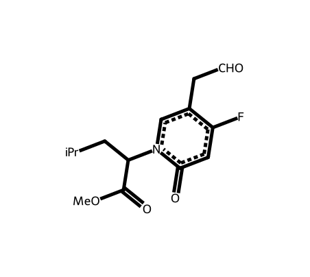 COC(=O)C(CC(C)C)n1cc(CC=O)c(F)cc1=O